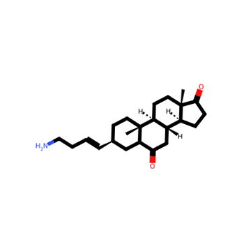 C[C@]12CC[C@H](/C=C/CCN)CC1C(=O)C[C@@H]1[C@@H]2CC[C@]2(C)C(=O)CC[C@@H]12